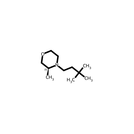 C[C@H]1COCCN1CCC(C)(C)C